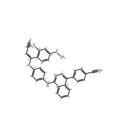 C#Cc1ccc(-c2nnc(Nc3ccc(O/C(=C/C#N)c4ncc(OC)cc4C)cc3)c3ccccc23)cc1